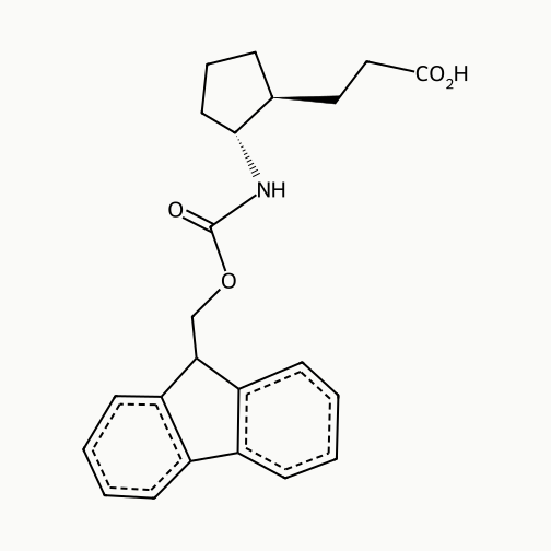 O=C(O)CC[C@@H]1CCC[C@H]1NC(=O)OCC1c2ccccc2-c2ccccc21